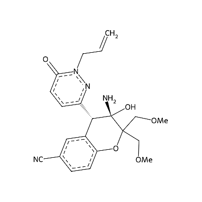 C=CCn1nc([C@H]2c3cc(C#N)ccc3OC(COC)(COC)[C@@]2(N)O)ccc1=O